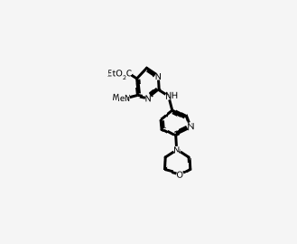 CCOC(=O)c1cnc(Nc2ccc(N3CCOCC3)nc2)nc1NC